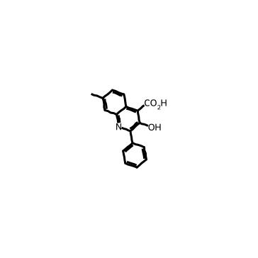 Cc1ccc2c(C(=O)O)c(O)c(-c3ccccc3)nc2c1